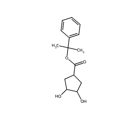 CC(C)(OC(=O)C1CC(O)C(O)C1)c1ccccc1